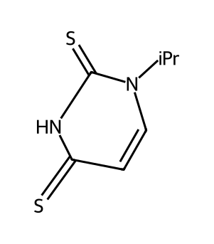 CC(C)n1ccc(=S)[nH]c1=S